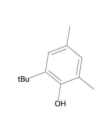 Cc1cc(C)c(O)c(C(C)(C)C)c1